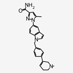 Cc1cc(C(N)=O)nn1-c1ccc2c(ccn2Cc2ccc(C3=CCCN(C)C3)cc2)c1